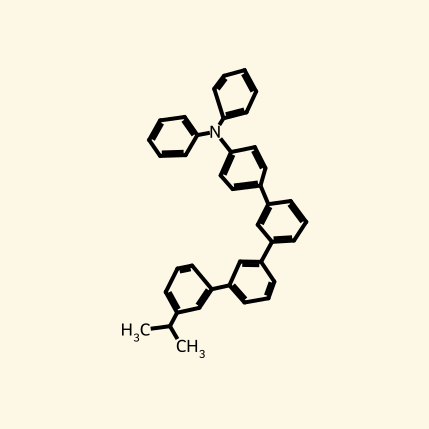 CC(C)c1cccc(-c2cccc(-c3cccc(-c4ccc(N(c5ccccc5)c5ccccc5)cc4)c3)c2)c1